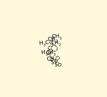 C=C(/C=C\CC)/C(C)=C\C(=C)c1ccccccc(/C(C)=C/C(=C\C)C/C=c2\c(=C/C)sc3c4sc5ccccc5c4c4ccccc4c23)c2ccccc12